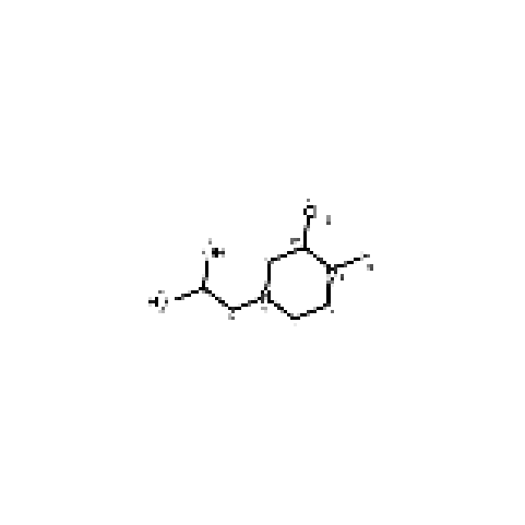 CCN1CCN(CC(C)O)CC1C